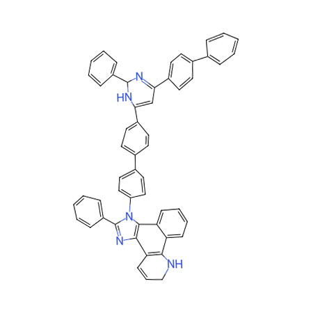 C1=Cc2c(c3ccccc3c3c2nc(-c2ccccc2)n3-c2ccc(-c3ccc(C4=CC(c5ccc(-c6ccccc6)cc5)=NC(c5ccccc5)N4)cc3)cc2)NC1